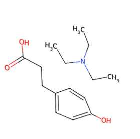 CCN(CC)CC.O=C(O)CCc1ccc(O)cc1